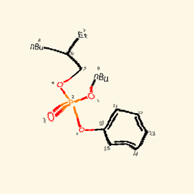 CCCCOP(=O)(OCC(CC)CCCC)Oc1ccccc1